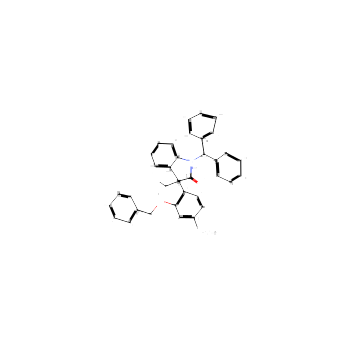 CCOC(=O)CC1(c2ccc(OC)cc2OCc2ccccc2)C(=O)N(C(c2ccccc2)c2ccccc2)c2ccccc21